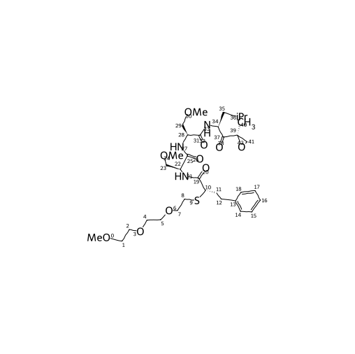 COCCOCCOCCS[C@@H](CCc1ccccc1)C(=O)N[C@@H](COC)C(=O)N[C@@H](COC)C(=O)N[C@@H](CC(C)C)C(=O)[C@@]1(C)CO1